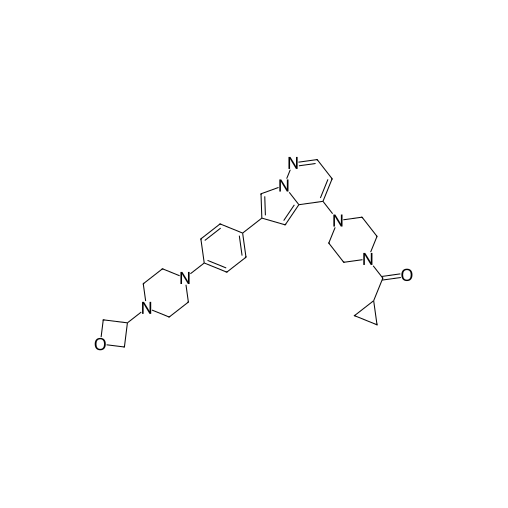 O=C(C1CC1)N1CCN(c2ccnn3cc(-c4ccc(N5CCN(C6COC6)CC5)cc4)cc23)CC1